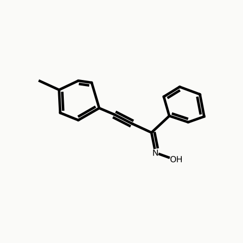 Cc1ccc(C#C/C(=N/O)c2ccccc2)cc1